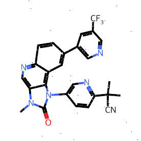 Cn1c(=O)n(-c2ccc(C(C)(C)C#N)nc2)c2c3cc(-c4cncc(C(F)(F)F)c4)ccc3ncc21